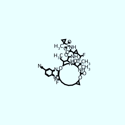 CCC1C2CN(C(=O)C(C(C)(C)C)NC(=O)OC3CC3CCCCC(F)(F)c3nc4ccc(C#N)cc4nc3O2)C1C(=O)NC1(C(=O)NS(=O)(=O)C2(C)CC2)CC1C(F)F